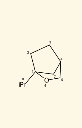 CC(C)C12CCC(CO1)C2